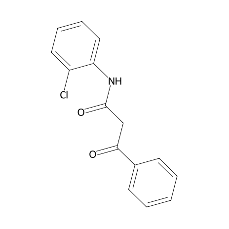 O=C(CC(=O)c1ccccc1)Nc1ccccc1Cl